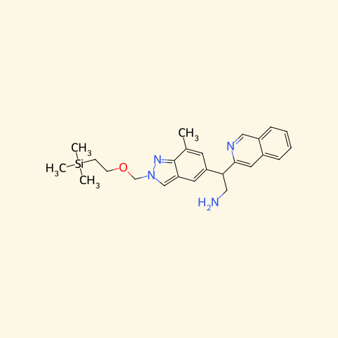 Cc1cc(C(CN)c2cc3ccccc3cn2)cc2cn(COCC[Si](C)(C)C)nc12